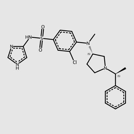 C[C@@H](c1ccccc1)N1CC[C@H](N(C)c2ccc(S(=O)(=O)Nc3c[nH]cn3)cc2Cl)C1